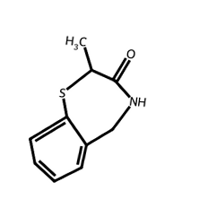 CC1Sc2ccccc2CNC1=O